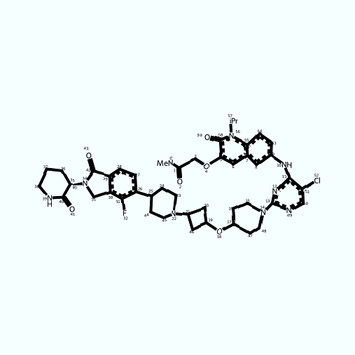 CNC(=O)COc1cc2cc(Nc3nc(N4CCC(OC5CC(N6CCC(c7ccc8c(c7F)CN([C@@H]7CCCNC7=O)C8=O)CC6)C5)CC4)ncc3Cl)ccc2n(C(C)C)c1=O